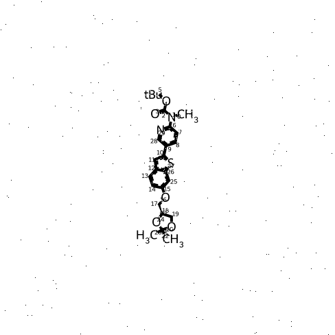 CN(C(=O)OC(C)(C)C)c1ccc(-c2cc3ccc(OC[C@H]4COC(C)(C)O4)cc3s2)cn1